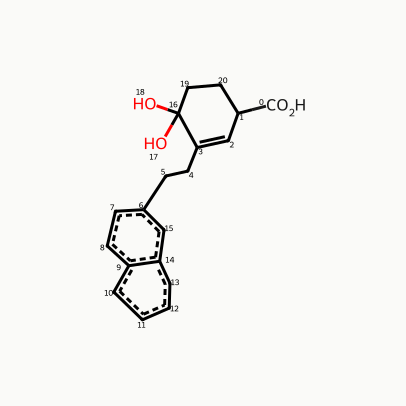 O=C(O)C1C=C(CCc2ccc3ccccc3c2)C(O)(O)CC1